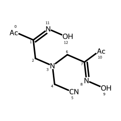 CC(=O)C(CN(CC#N)CC(=NO)C(C)=O)=NO